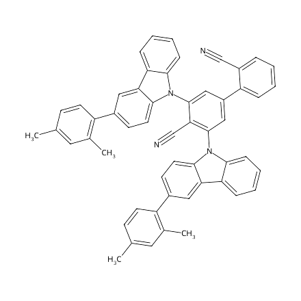 Cc1ccc(-c2ccc3c(c2)c2ccccc2n3-c2cc(-c3ccccc3C#N)cc(-n3c4ccccc4c4cc(-c5ccc(C)cc5C)ccc43)c2C#N)c(C)c1